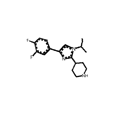 CC(C)n1cc(-c2ccc(F)c(F)c2)nc1C1CCNCC1